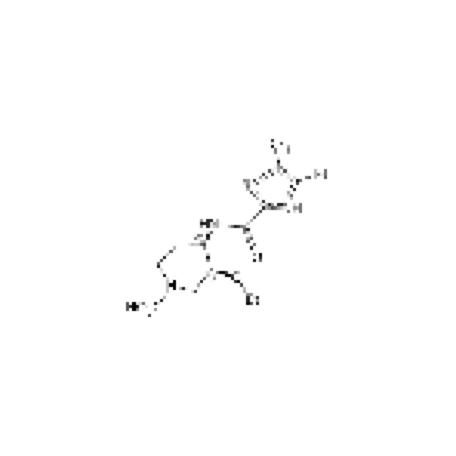 CCO[C@H]1CN(C(=O)O)CC[C@H]1NC(=O)c1nc(C(F)(F)F)c(CC)[nH]1